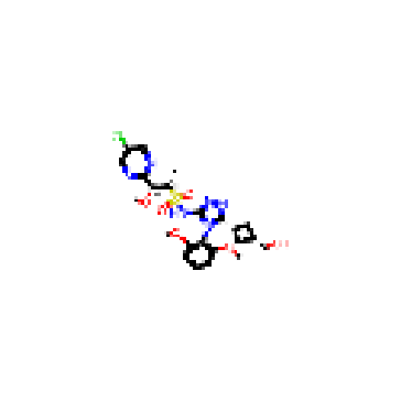 COc1cccc(OC)c1-n1c(NS(=O)(=O)[C@@H](C)[C@H](OC)c2ncc(Cl)cn2)nnc1[C@H]1C[C@@H](CO)C1